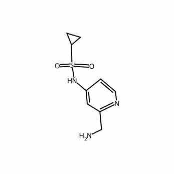 NCc1cc(NS(=O)(=O)C2CC2)ccn1